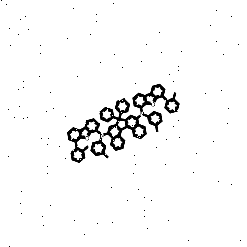 Cc1cccc(N(c2cc3c(c4ccccc24)-c2c(cc(N(c4cccc(C)c4)c4cccc5c4oc4c(-c6ccccc6C)cccc45)c4ccccc24)C3(c2ccccc2)c2ccccc2)c2cccc3c2oc2c(-c4ccccc4C)cccc23)c1